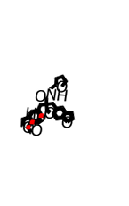 O=C(NCC1CCCO1)C(Cc1ccc2occc2c1)(Cc1ccc2occc2c1)C(=O)NCC1CCCO1